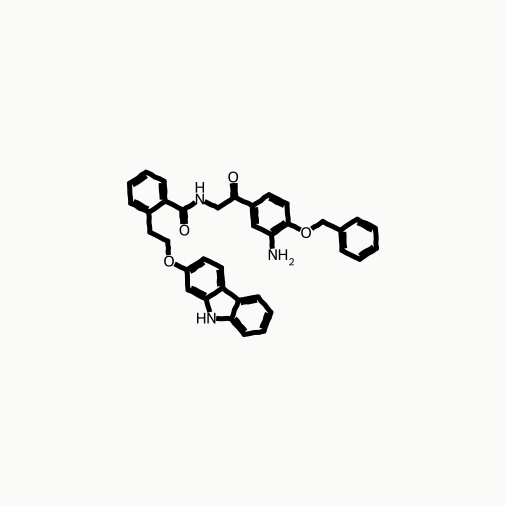 Nc1cc(C(=O)CNC(=O)c2ccccc2CCOc2ccc3c(c2)[nH]c2ccccc23)ccc1OCc1ccccc1